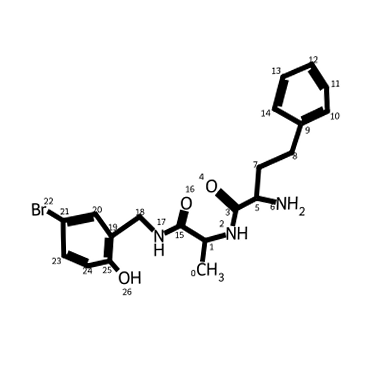 CC(NC(=O)C(N)CCc1ccccc1)C(=O)NCc1cc(Br)ccc1O